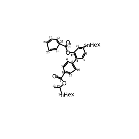 CCCCCCc1ccc(-c2ccc(C(=O)OC(C)CCCCCC)cc2)c(OC(=O)c2ccccc2)c1